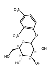 O=[N+]([O-])c1ccc(OC2O[C@H](CO)[C@@H](O)[C@H](O)[C@H]2O)c([N+](=O)[O-])c1